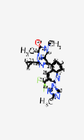 Cc1ncn(-c2nc3cccc(-c4nc(C5CC5)n5c4CN(C)C(=O)[C@H]5C)c3cc2C(F)F)n1